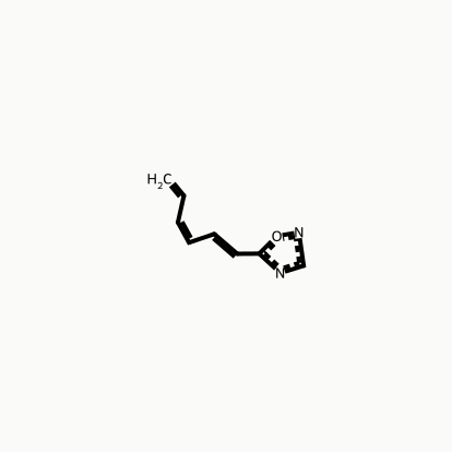 C=C/C=C\C=C\c1ncno1